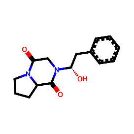 O=C1CN([C@@H](O)Cc2ccccc2)C(=O)C2CCCN12